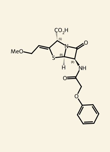 COCC=C1S[C@@H]2[C@H](NC(=O)COc3ccccc3)C(=O)N2[C@H]1C(=O)O